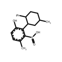 Cc1ccc(O)c(C2CC(C)CCC2C(C)C)c1S(=O)O